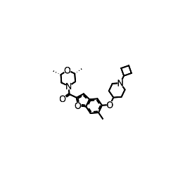 Cc1cc2oc(C(=O)N3C[C@@H](C)O[C@@H](C)C3)cc2cc1OC1CCN(C2CCC2)CC1